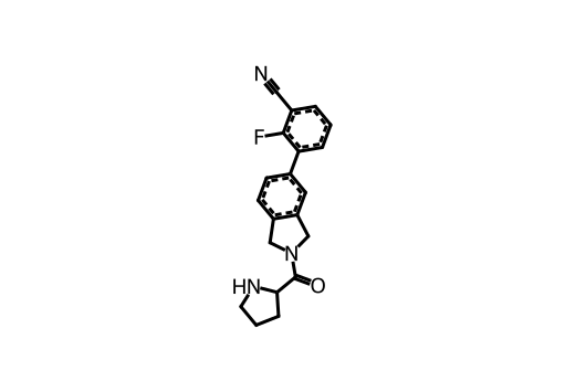 N#Cc1cccc(-c2ccc3c(c2)CN(C(=O)C2CCCN2)C3)c1F